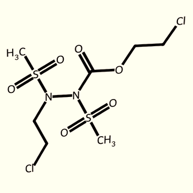 CS(=O)(=O)N(CCCl)N(C(=O)OCCCl)S(C)(=O)=O